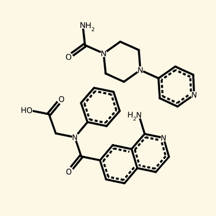 NC(=O)N1CCN(c2ccncc2)CC1.Nc1nccc2ccc(C(=O)N(CC(=O)O)c3ccccc3)cc12